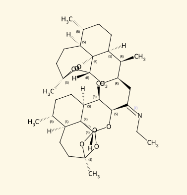 CC/N=C(/C[C@H]1O[C@@H]2O[C@]3(C)CC[C@H]4[C@H](C)CC[C@@H]([C@H]1C)[C@@]24OO3)[C@H]1O[C@@H]2O[C@]3(C)CC[C@H]4[C@H](C)CC[C@@H]([C@H]1C)[C@@]24OO3